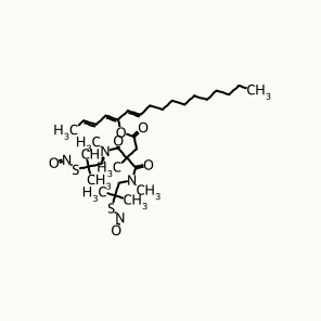 CC=CC=C(C=CCCCCCCCCCC)OC(=O)CC(C)(C(=O)N(C)CC(C)(C)SN=O)C(=O)N(C)CC(C)(C)SN=O